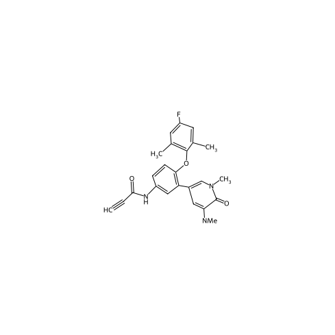 C#CC(=O)Nc1ccc(Oc2c(C)cc(F)cc2C)c(-c2cc(NC)c(=O)n(C)c2)c1